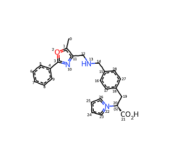 Cc1oc(-c2ccccc2)nc1CNCc1ccc(C[C@@H](C(=O)O)n2cccc2)cc1